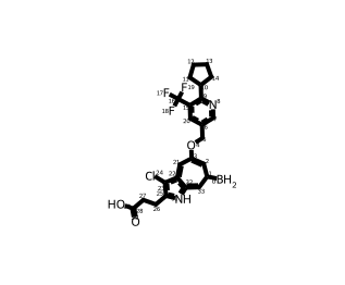 BC1C=C(OCc2cnc(C3CCCC3)c(C(F)(F)F)c2)C=c2c(Cl)c(CCC(=O)O)[nH]c2=C1